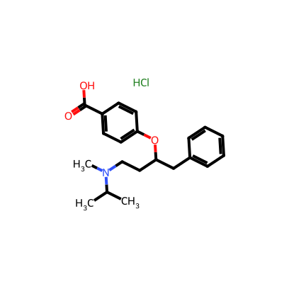 CC(C)N(C)CCC(Cc1ccccc1)Oc1ccc(C(=O)O)cc1.Cl